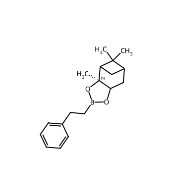 CC1(C)C2CC3OB(CCc4ccccc4)O[C@@]3(C)C1C2